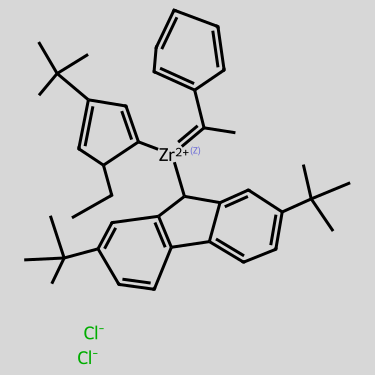 CCC1C=C(C(C)(C)C)C=[C]1/[Zr+2](=[C](/C)c1ccccc1)[CH]1c2cc(C(C)(C)C)ccc2-c2ccc(C(C)(C)C)cc21.[Cl-].[Cl-]